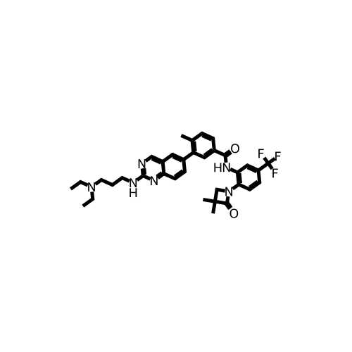 CCN(CC)CCCNc1ncc2cc(-c3cc(C(=O)Nc4cc(C(F)(F)F)ccc4N4CC(C)(C)C4=O)ccc3C)ccc2n1